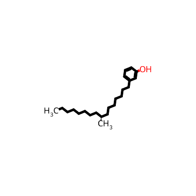 CCCCCCCC[C@@H](C)CCCCCCCc1cccc(O)c1